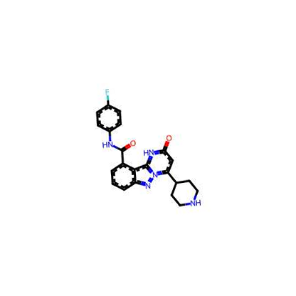 O=C(Nc1ccc(F)cc1)c1cccc2nn3c(C4CCNCC4)cc(=O)[nH]c3c12